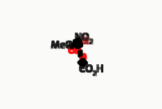 COC(=O)c1cc([N+](=O)[O-])c(Br)cc1OCCOC1CC(C(=O)O)C1